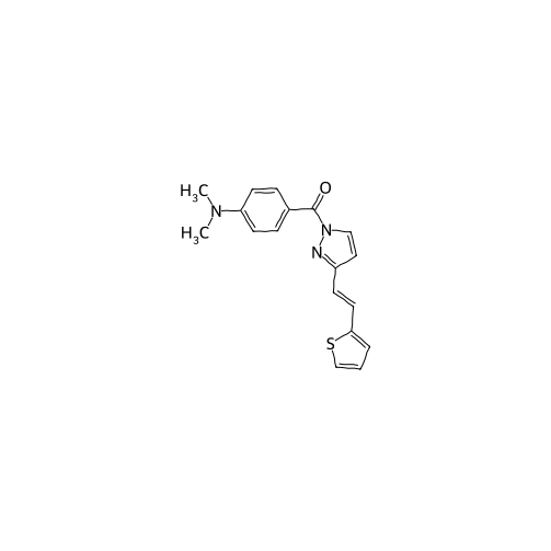 CN(C)c1ccc(C(=O)n2ccc(/C=C/c3cccs3)n2)cc1